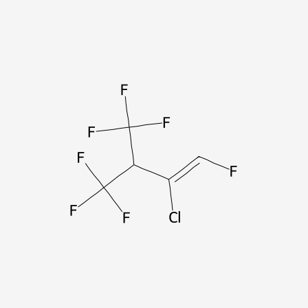 FC=C(Cl)C(C(F)(F)F)C(F)(F)F